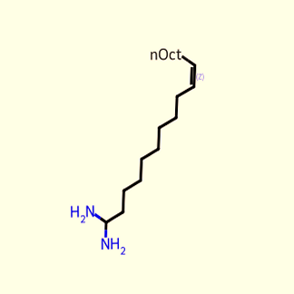 CCCCCCCC/C=C\CCCCCCCCC(N)N